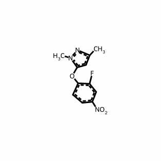 Cc1cc(Oc2ccc([N+](=O)[O-])cc2F)n(C)n1